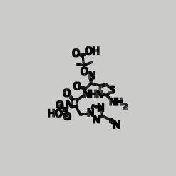 CC(C)(O/N=C(\C(=O)NC1C(=O)N(S(=O)(=O)O)C1Cn1cnc(C#N)n1)c1csc(N)n1)C(=O)O